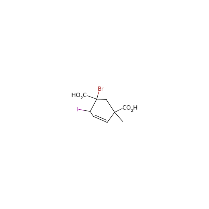 CC1(C(=O)O)C=CC(I)C(Br)(C(=O)O)C1